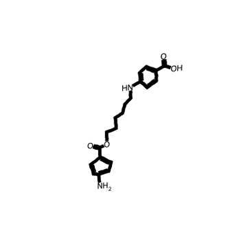 Nc1ccc(C(=O)OCCCCCCNc2ccc(C(=O)O)cc2)cc1